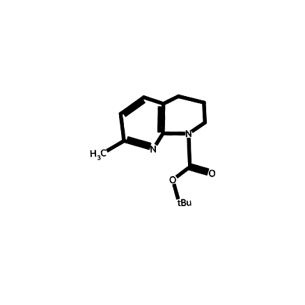 Cc1ccc2c(n1)N(C(=O)OC(C)(C)C)CCC2